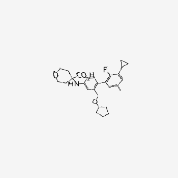 Cc1cc(-c2ccc(NC3(C(=O)O)CCOCC3)cc2COC2CCCC2)c(F)c(C2CC2)c1